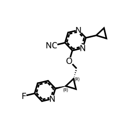 N#Cc1cnc(C2CC2)nc1OC[C@@H]1C[C@H]1c1ccc(F)cn1